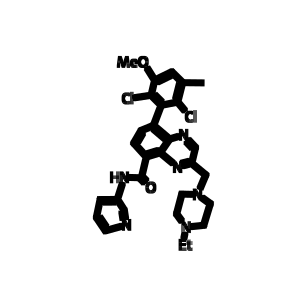 CCN1CCN(Cc2cnc3c(-c4c(Cl)c(C)cc(OC)c4Cl)ccc(C(=O)Nc4cccnc4)c3n2)CC1